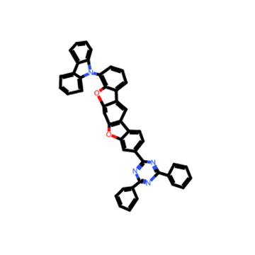 c1ccc(-c2nc(-c3ccccc3)nc(-c3ccc4c(c3)oc3cc5oc6c(-n7c8ccccc8c8ccccc87)cccc6c5cc34)n2)cc1